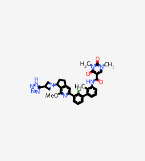 COc1nc(-c2cccc(-c3cccc(NC(=O)c4cn(C)c(=O)n(C)c4=O)c3C)c2Cl)cc2c1C(N1CC(c3nnn[nH]3)C1)CC2